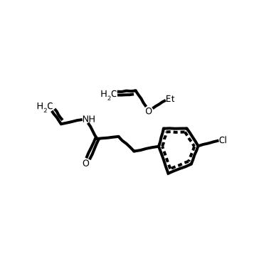 C=CNC(=O)CCc1ccc(Cl)cc1.C=COCC